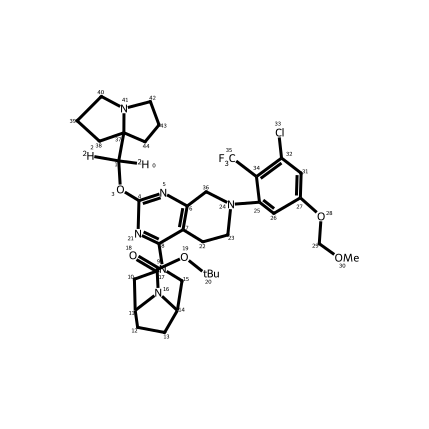 [2H]C([2H])(Oc1nc2c(c(N3CC4CCC(C3)N4C(=O)OC(C)(C)C)n1)CCN(c1cc(OCOC)cc(Cl)c1C(F)(F)F)C2)C12CCCN1CCC2